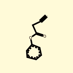 [C]#CCC(=O)Oc1ccccc1